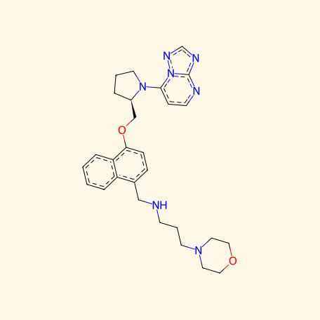 c1ccc2c(OC[C@H]3CCCN3c3ccnc4ncnn34)ccc(CNCCCN3CCOCC3)c2c1